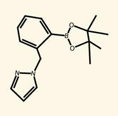 CC1(C)OB(c2ccccc2Cn2cccn2)OC1(C)C